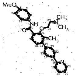 COc1ccc(NC(=O)c2ccc(-c3ccc(-c4ccccn4)cc3)c(C)c2OCCN(C)C)cc1